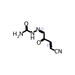 N#C/C=C/C(=O)/C=N\NC(N)=O